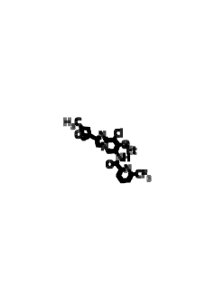 CCOc1c(NC(=O)c2cccc(C(F)(F)F)n2)cn2cc(C34COC(C)(C3)C4)nc2c1Cl